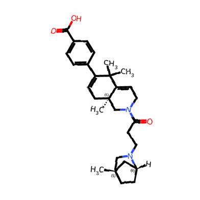 CC1(C)C(c2ccc(C(=O)O)cc2)=CC[C@]2(C)CN(C(=O)CCN3C[C@@]4(C)CC[C@@H]3C4)CC=C12